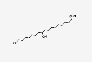 CCCCCCCC/C=C\CCCCCCCC(O)CCCCCCCC(C)C